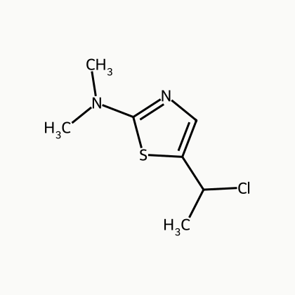 CC(Cl)c1cnc(N(C)C)s1